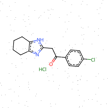 Cl.O=C(Cc1nc2c([nH]1)CCCC2)c1ccc(Cl)cc1